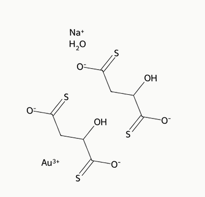 O.[Au+3].[Na+].[O-]C(=S)CC(O)C([O-])=S.[O-]C(=S)CC(O)C([O-])=S